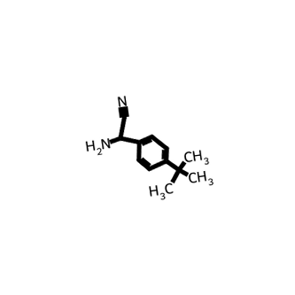 CC(C)(C)c1ccc(C(N)C#N)cc1